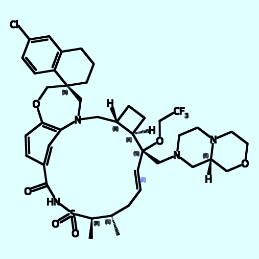 C[C@@H]1[C@@H](C)C/C=C/[C@@](CN2CCN3CCOC[C@@H]3C2)(OCC(F)(F)F)[C@@H]2CC[C@H]2CN2C[C@@]3(CCCc4cc(Cl)ccc43)COc3ccc(cc32)C(=O)NS1(=O)=O